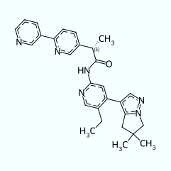 CCc1cnc(NC(=O)[C@@H](C)c2ccc(-c3cccnc3)nc2)cc1-c1cnn2c1CC(C)(C)C2